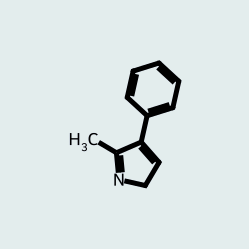 CC1=NCC=C1c1ccccc1